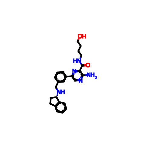 Nc1ncc(-c2cccc(CN[C@H]3CCc4ccccc43)c2)nc1C(=O)NCCCCO